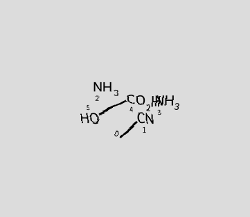 CC#N.N.N.O=C(O)O